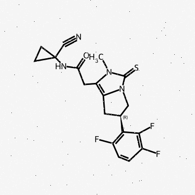 Cn1c(CC(=O)NC2(C#N)CC2)c2n(c1=S)C[C@@H](c1c(F)ccc(F)c1F)C2